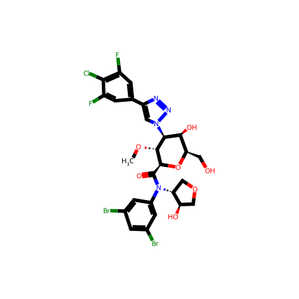 CO[C@@H]1[C@@H](n2cc(-c3cc(F)c(Cl)c(F)c3)nn2)[C@@H](O)[C@@H](CO)O[C@H]1C(=O)N(c1cc(Br)cc(Br)c1)[C@@H]1COC[C@H]1O